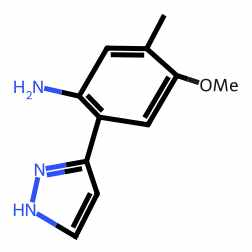 COc1cc(-c2cc[nH]n2)c(N)cc1C